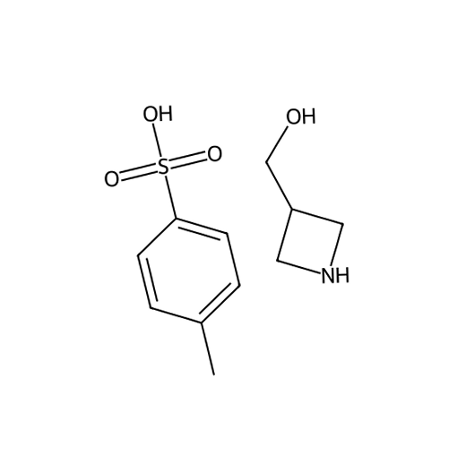 Cc1ccc(S(=O)(=O)O)cc1.OCC1CNC1